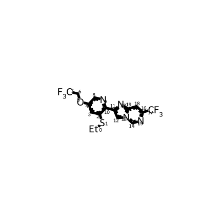 CCSc1cc(OCC(F)(F)F)cnc1-c1cn2cnc(C(F)(F)F)cc2n1